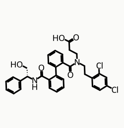 O=C(O)CCN(CCc1ccc(Cl)cc1Cl)C(=O)c1ccccc1-c1ccccc1C(=O)N[C@@H](CO)c1ccccc1